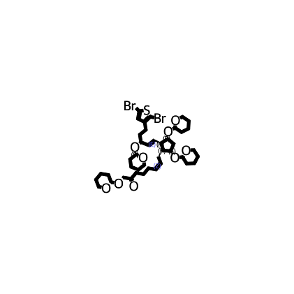 O=C(CCC/C=C\C[C@@H]1[C@@H](/C=C/C(CCc2cc(Br)sc2Br)O[C@H]2CCCCO2)[C@H](OC2CCCCO2)C[C@@H]1OC1CCCCO1)COC1CCCCO1